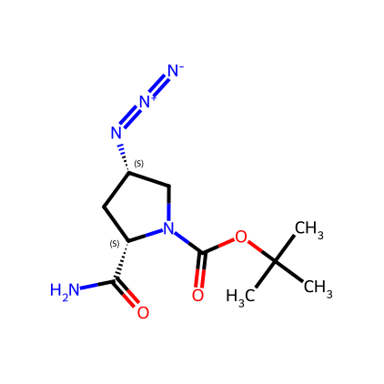 CC(C)(C)OC(=O)N1C[C@@H](N=[N+]=[N-])C[C@H]1C(N)=O